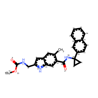 Cc1cc2cc(CNC(=O)OC(C)(C)C)[nH]c2cc1C(=O)NC1(c2ccc3ccccc3c2)CC1